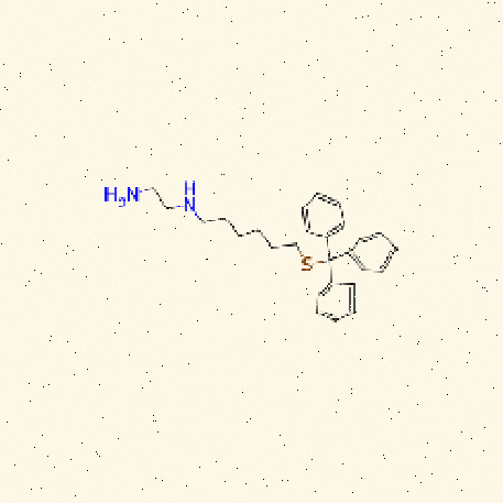 NCCNCCCCCCSC(c1ccccc1)(c1ccccc1)c1ccccc1